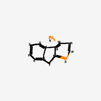 P.c1ccc2c(c1)Cc1pcccc1-2